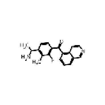 Cc1c(C(C)N)ccc(C(=O)c2cccc3cnccc23)c1F